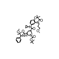 COCCCN1C(=O)C(C)(C)Oc2ccc(N(C(=O)[C@@H]3C[C@H](C(=O)N[C@H](c4ccccc4)C(C)(C)OC)CN(C(=O)OC(C)(C)C)C3)C3CC3)cc21